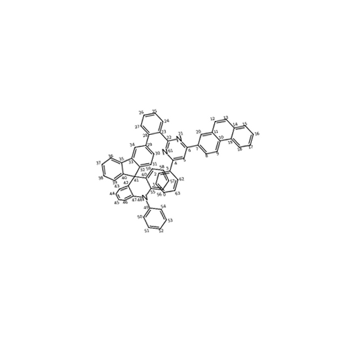 c1ccc(-c2cc(-c3ccc4c(ccc5ccccc54)c3)nc(-c3ccccc3-c3ccc4c(c3)-c3ccccc3C43c4ccccc4N(c4ccccc4)c4ccccc43)n2)cc1